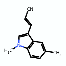 Cc1ccc2c(c1)c(/C=C/C#N)cn2C